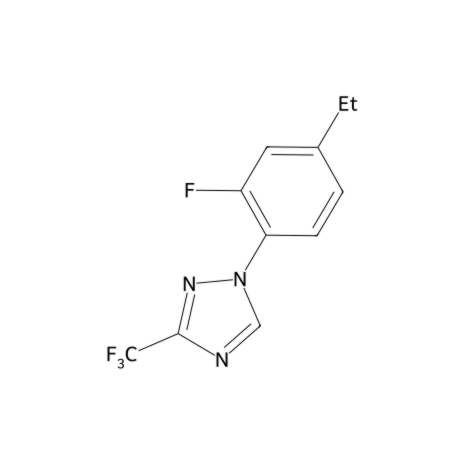 CCc1ccc(-n2cnc(C(F)(F)F)n2)c(F)c1